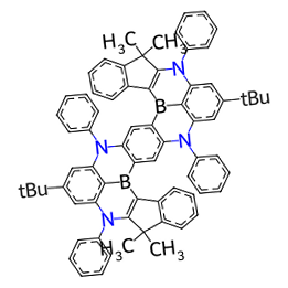 CC(C)(C)c1cc2c3c(c1)N(c1ccccc1)c1cc4c(cc1B3C1=C(N2c2ccccc2)C(C)(C)c2ccccc21)N(c1ccccc1)c1cc(C(C)(C)C)cc2c1B4C1=C(N2c2ccccc2)C(C)(C)c2ccccc21